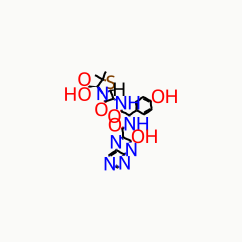 CC1(C)S[C@@H]2C(NC(=O)C(NC(=O)c3nc4cncnc4nc3O)c3ccc(O)cc3)C(=O)N2[C@H]1C(=O)O